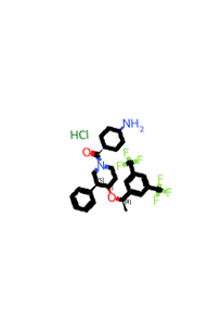 C[C@@H](O[C@@H]1CCN(C(=O)[C@H]2CC[C@H](N)CC2)C[C@@H]1c1ccccc1)c1cc(C(F)(F)F)cc(C(F)(F)F)c1.Cl